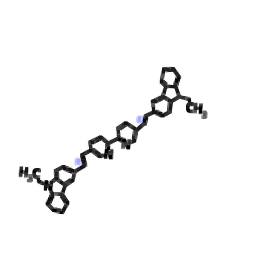 CCC1c2ccccc2-c2cc(/C=C/c3ccc(-c4ccc(/C=C/c5ccc6c(c5)c5ccccc5n6CC)cn4)nc3)ccc21